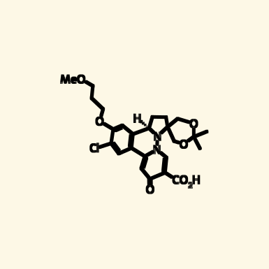 COCCCOc1cc2c(cc1Cl)-c1cc(=O)c(C(=O)O)cn1N1[C@@H]2CCC12COC(C)(C)OC2